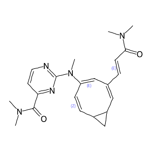 CN(C)C(=O)/C=C/C1=CC2CC2/C=C\C(N(C)c2nccc(C(=O)N(C)C)n2)=C/1